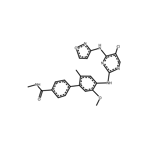 CNC(=O)c1ccc(-c2cc(OC)c(Nc3ncc(Cl)c(Nc4ccon4)n3)cc2C)cc1